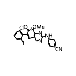 COn1c(=O)c(-c2c(Cl)cccc2I)cc2cnc(Nc3ccc(C#N)cc3)nc21